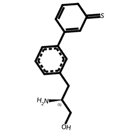 N[C@H](CO)Cc1cccc(C2=CC(=S)CC=C2)c1